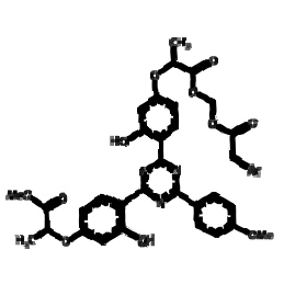 COC(=O)C(C)Oc1ccc(-c2nc(-c3ccc(OC)cc3)nc(-c3ccc(OC(C)C(=O)OCOC(=O)CC(C)=O)cc3O)n2)c(O)c1